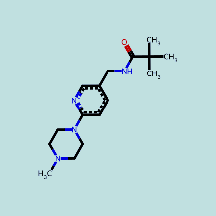 CN1CCN(c2ccc(CNC(=O)C(C)(C)C)cn2)CC1